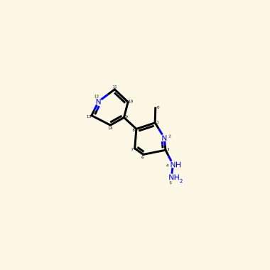 Cc1nc(NN)ccc1-c1ccncc1